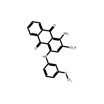 Nc1c(S(=O)(=O)O)cc(Nc2cccc(OC(F)(F)F)c2)c2c1C(=O)c1ccccc1C2=O